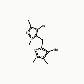 Cc1nn(C)c(Cc2nn(C)c(C)c2C(C)(C)C)c1C(C)(C)C